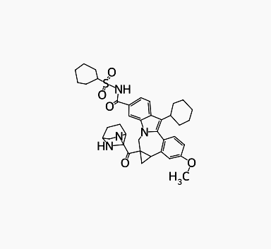 COc1ccc2c(c1)C1CC1(C(=O)N1CC3CCC1CN3)Cn1c-2c(C2CCCCC2)c2ccc(C(=O)NS(=O)(=O)C3CCCCC3)cc21